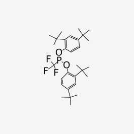 CC(C)(C)c1ccc(OP(Oc2ccc(C(C)(C)C)cc2C(C)(C)C)C(F)(F)F)c(C(C)(C)C)c1